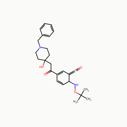 CC(C)(C)ONC1C=CC(C(=O)CC2(O)CCN(Cc3ccccc3)CC2)=CC1=C=O